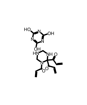 C=CC(=O)N1CNCNC1(C(=O)C=C)C(=O)C=C.Oc1nc(O)nc(O)n1